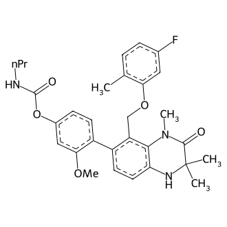 CCCNC(=O)Oc1ccc(-c2ccc3c(c2COc2cc(F)ccc2C)N(C)C(=O)C(C)(C)N3)c(OC)c1